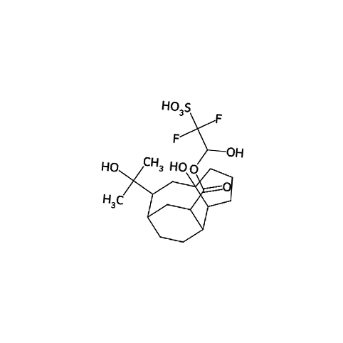 CC(C)(O)C1CC2(O)CCCC2C2CCC1CC2C(=O)OC(O)C(F)(F)S(=O)(=O)O